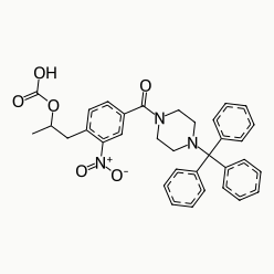 CC(Cc1ccc(C(=O)N2CCN(C(c3ccccc3)(c3ccccc3)c3ccccc3)CC2)cc1[N+](=O)[O-])OC(=O)O